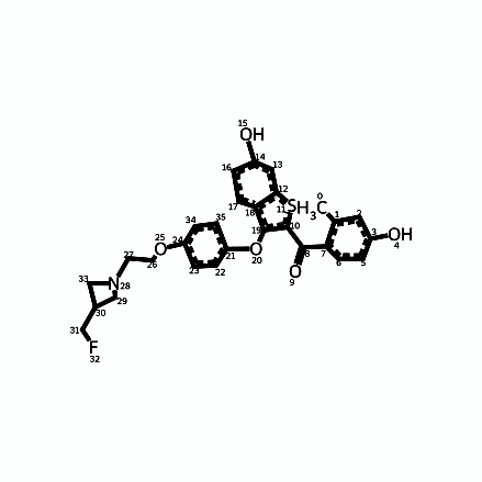 Cc1cc(O)ccc1C(=O)c1sc2cc(O)ccc2c1Oc1ccc(OCCN2CC(CF)C2)cc1